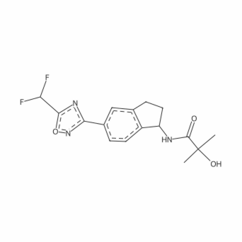 CC(C)(O)C(=O)NC1CCc2cc(-c3noc(C(F)F)n3)ccc21